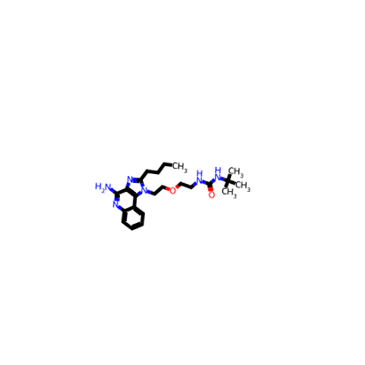 CCCCc1nc2c(N)nc3ccccc3c2n1CCOCCNC(=O)NC(C)(C)C